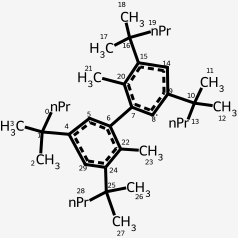 CCCC(C)(C)c1[c]c(-c2[c]c(C(C)(C)CCC)cc(C(C)(C)CCC)c2C)c(C)c(C(C)(C)CCC)c1